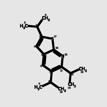 CC(C)c1cc2cc(C(C)C)c(C(C)C)nc2s1